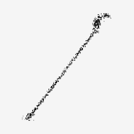 CC(C)CCC[C@@H](C)[C@H]1CC[C@H]2[C@@H]3CC=C4C[C@@H](OC(=O)NCCOCCOCCOCCOCCOCCOCCOCCOCCOCCOCCOCCOCCOCCOCCOCCOCCOCCOCCOCCOCCOCCOCCOCCNC(=O)OC(C)(C)C)CC[C@]4(C)[C@H]3CC[C@]12C